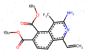 C=Cc1nc(N)c(C(F)(F)F)c2c(C(=O)OC(C)(C)C)c(C(=O)OC(C)(C)C)ccc12